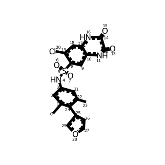 Cc1cc(NS(=O)(=O)c2cc3[nH]c(=O)c(=O)[nH]c3cc2Cl)cc(C)c1-c1ccoc1